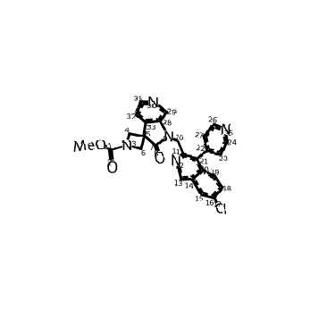 COC(=O)N1CC2(C1)C(=O)N(Cc1ncc3cc(Cl)ccc3c1-c1ccncc1)c1cnccc12